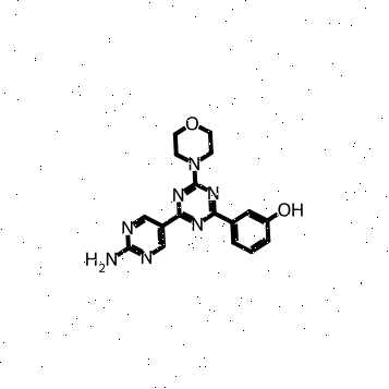 Nc1ncc(-c2nc(-c3cccc(O)c3)nc(N3CCOCC3)n2)cn1